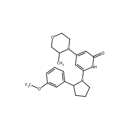 CC1COCCN1c1cc(N2CCCC2c2cccc(OC(F)(F)F)c2)[nH]c(=O)c1